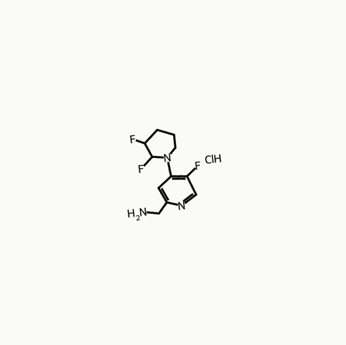 Cl.NCc1cc(N2CCCC(F)C2F)c(F)cn1